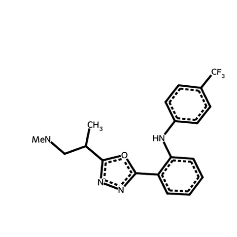 CNCC(C)c1nnc(-c2ccccc2Nc2ccc(C(F)(F)F)cc2)o1